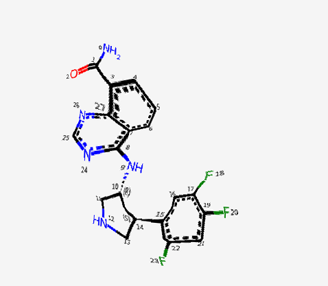 NC(=O)c1cccc2c(N[C@H]3CNC[C@@H]3c3cc(F)c(F)cc3F)ncnc12